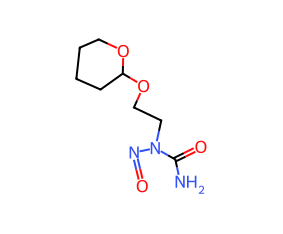 NC(=O)N(CCOC1CCCCO1)N=O